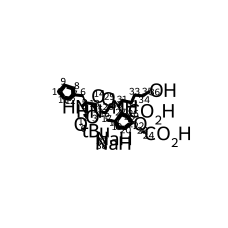 CC(C)(C)OC(=O)N[C@@H](Cc1ccccc1)C(=O)N[C@@H](Cc1ccc(OCC(=O)O)c(C(=O)O)c1)C(=O)NCCCCCO.[NaH].[NaH]